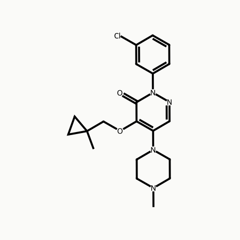 CN1CCN(c2cnn(-c3cccc(Cl)c3)c(=O)c2OCC2(C)CC2)CC1